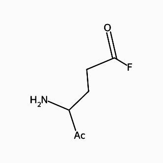 CC(=O)C(N)CCC(=O)F